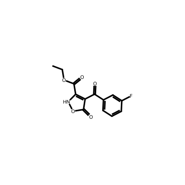 CCOC(=O)c1[nH]oc(=O)c1C(=O)c1cccc(F)c1